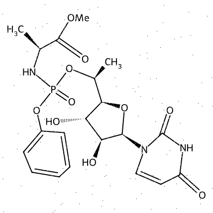 COC(=O)[C@H](C)NP(=O)(Oc1ccccc1)O[C@@H](C)[C@H]1O[C@@H](n2ccc(=O)[nH]c2=O)[C@@H](O)[C@@H]1O